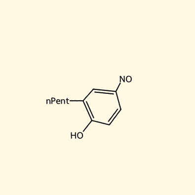 CCCCCc1cc(N=O)ccc1O